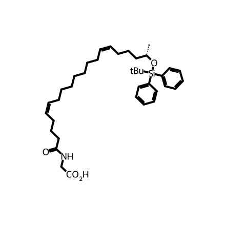 C[C@@H](CCC/C=C\CCCCCCC/C=C\CCCC(=O)NCC(=O)O)O[Si](c1ccccc1)(c1ccccc1)C(C)(C)C